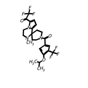 CC(C)Oc1ccc(C(=O)N2CCC3(CC2)c2ccc(C(=O)C(F)(F)F)n2CCN3C)cc1C(F)(F)F